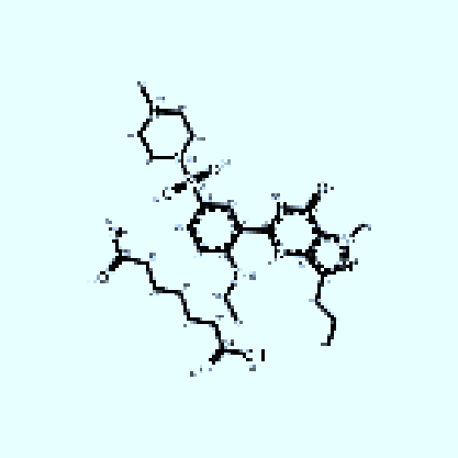 CCCc1nn(C)c2c(=O)[nH]c(-c3cc(S(=O)(=O)N4CCN(C)CC4)ccc3OCC)nc12.O=C(O)CCCCCC(=O)O